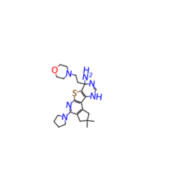 CC1(C)Cc2c(N3CCCC3)nc3sc4c(c3c2C1)NC=NC4(N)CCN1CCOCC1